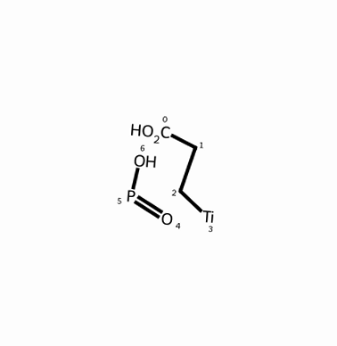 O=C(O)C[CH2][Ti].O=PO